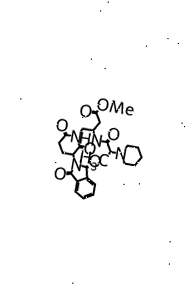 COC(=O)CC(CN1C(=O)CCC(N2C(=O)c3ccccc3C2=O)C1=O)NC(=O)C(C)N1CCCCC1